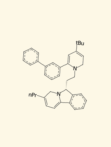 CCCC1=CC=C2c3ccccc3[C@@H](CCN3CC=C(C(C)(C)C)C=C3c3cccc(-c4ccccc4)c3)N2C1